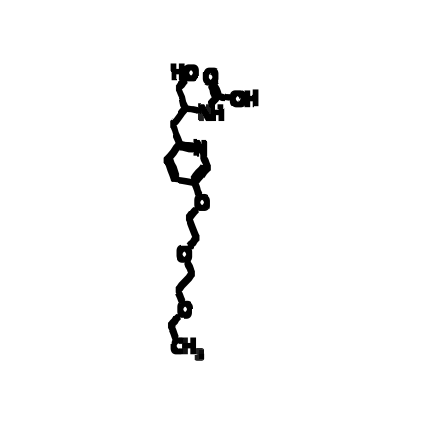 CCOCCOCCOc1ccc(CC(CO)NC(=O)O)nc1